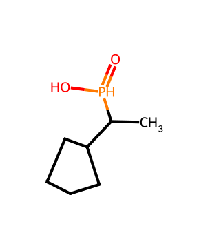 CC(C1CCCC1)[PH](=O)O